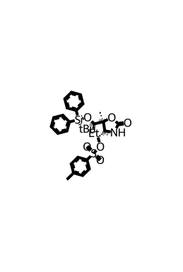 CC[C@@H](O[Si](c1ccccc1)(c1ccccc1)C(C)(C)C)[C@@]1(C)OC(=O)N[C@@H]1COS(=O)(=O)c1ccc(C)cc1